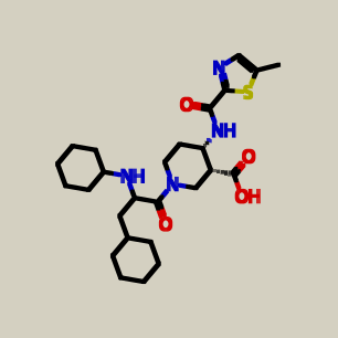 Cc1cnc(C(=O)N[C@H]2CCN(C(=O)C(CC3CCCCC3)NC3CCCCC3)C[C@H]2C(=O)O)s1